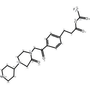 O=C(CCc1ccc(C(=O)CN2CCN(C3CCNCC3)CC2=O)cc1)OC(=O)C(F)(F)F